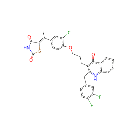 CC(=C1SC(=O)NC1=O)c1ccc(OCCCc2c(Cc3ccc(F)c(F)c3)[nH]c3ccccc3c2=O)c(Cl)c1